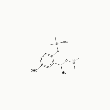 C[SiH](C)OC(c1cc(C=O)ccc1O[Si](C)(C)C(C)(C)C)C(C)(C)C